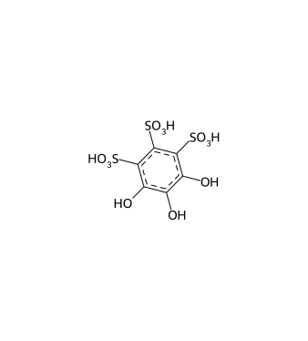 O=S(=O)(O)c1c(O)c(O)c(O)c(S(=O)(=O)O)c1S(=O)(=O)O